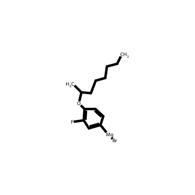 CCCCCCC(C)Oc1cc[c]([Mg][Br])cc1F